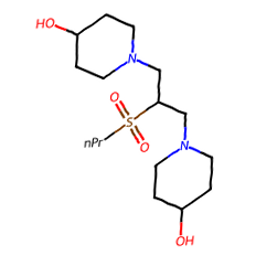 CCCS(=O)(=O)C(CN1CCC(O)CC1)CN1CCC(O)CC1